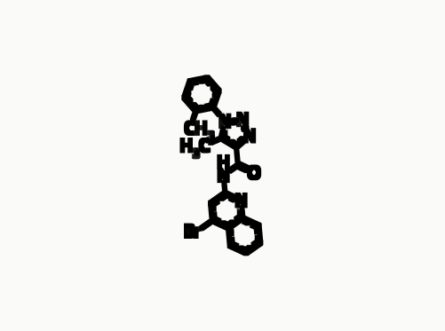 Cc1ccccc1-n1nnc(C(=O)Nc2cc(Br)c3ccccc3n2)c1C